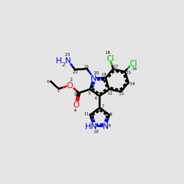 CCOC(=O)c1c(-c2cn[nH]c2)c2ccc(Cl)c(Cl)c2n1CCN